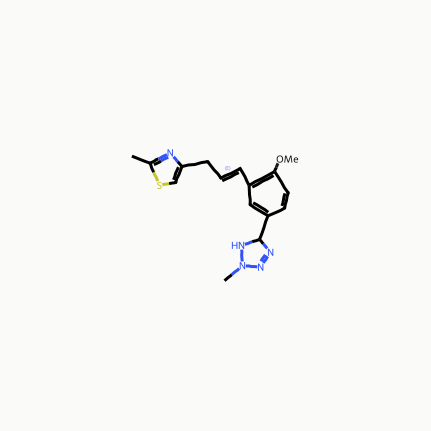 COc1ccc(C2N=NN(C)N2)cc1/C=C/Cc1csc(C)n1